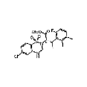 COC(=O)[C@H](C(C)c1c(F)ccc(C)c1C)N1CNc2cc(Cl)ccc2S1(=O)=O